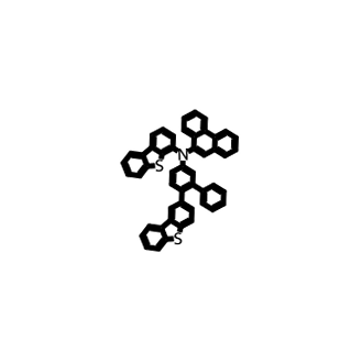 c1ccc(-c2cc(N(c3cc4ccccc4c4ccccc34)c3cccc4c3sc3ccccc34)ccc2-c2ccc3sc4ccccc4c3c2)cc1